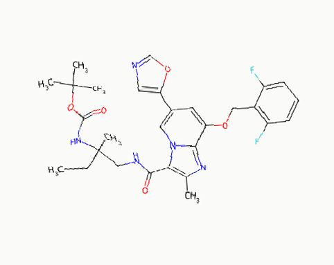 CCC(C)(CNC(=O)c1c(C)nc2c(OCc3c(F)cccc3F)cc(-c3cnco3)cn12)NC(=O)OC(C)(C)C